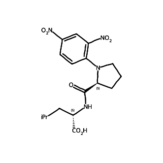 CC(C)C[C@H](NC(=O)[C@@H]1CCCN1c1ccc([N+](=O)[O-])cc1[N+](=O)[O-])C(=O)O